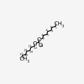 CCCCCCCCOC(=O)OCCCCCCC